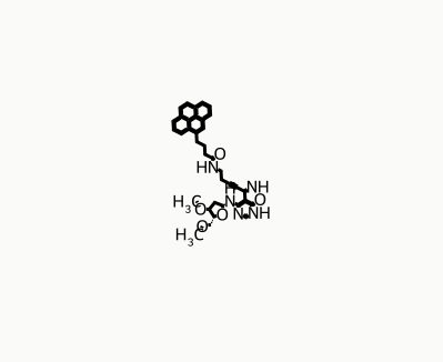 COC[C@H]1O[C@@H](Nc2nc[nH]c(=O)c2C(=N)C#CCCNC(=O)CCCc2cc3cccc4ccc5cccc2c5c43)CC1OC